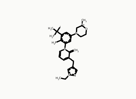 C=C1C(Cc2cnn(CC)c2)=CC=CN1c1cc(N2CCO[C@H](C)C2)cc(C(C)(P)I)c1P